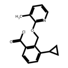 Cc1cccnc1OCc1c(C(=O)Cl)cccc1C1CC1